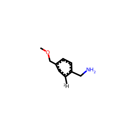 [2H]c1cc(COC)ccc1CN